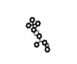 c1ccc(N(c2ccc3c(c2)Oc2ccc4c(c2O3)-c2ccccc2C4(c2ccccc2)c2ccccc2)c2ccc3sc4ccccc4c3c2)cc1